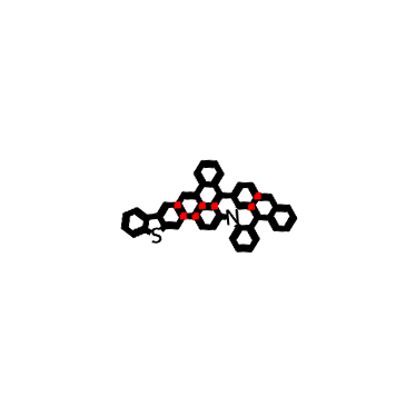 c1ccc(N(c2ccc(-c3ccc4c(c3)sc3ccccc34)cc2)c2ccccc2-c2cc3ccccc3c3ccccc23)c(-c2cccc3ccccc23)c1